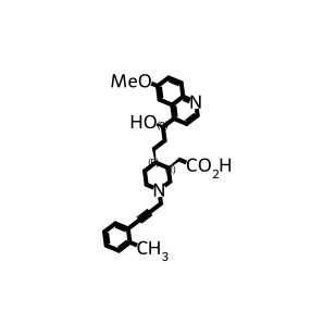 COc1ccc2nccc([C@H](O)CC[C@@H]3CCN(CC#Cc4ccccc4C)C[C@@H]3CC(=O)O)c2c1